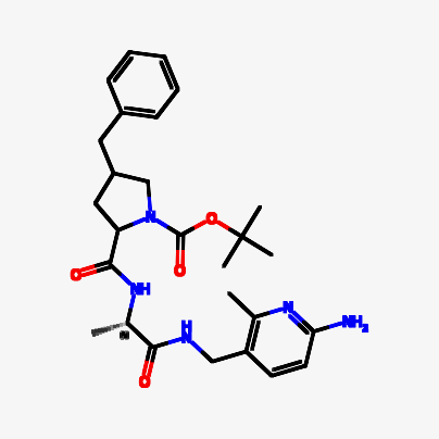 Cc1nc(N)ccc1CNC(=O)[C@H](C)NC(=O)C1CC(Cc2ccccc2)CN1C(=O)OC(C)(C)C